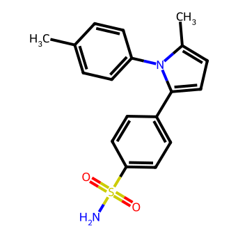 Cc1ccc(-n2c(C)ccc2-c2ccc(S(N)(=O)=O)cc2)cc1